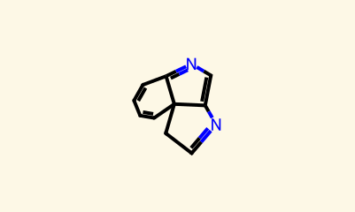 C1=CC2=NC=C3N=CCC32C=C1